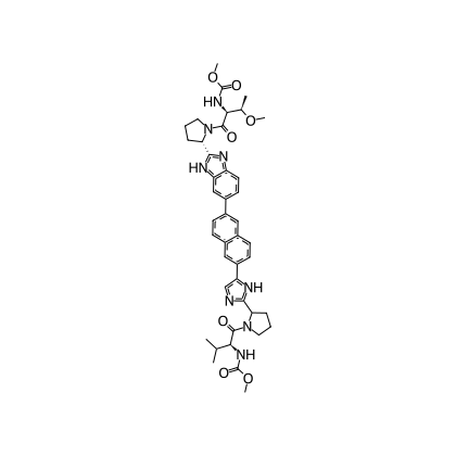 COC(=O)N[C@H](C(=O)N1CCCC1c1ncc(-c2ccc3cc(-c4ccc5nc([C@@H]6CCCN6C(=O)[C@@H](NC(=O)OC)[C@@H](C)OC)[nH]c5c4)ccc3c2)[nH]1)C(C)C